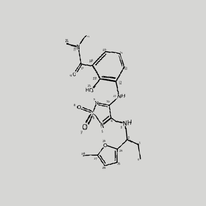 CCC(NC1=NS(=O)(=O)N=C1Nc1cccc(C(=O)N(C)C)c1O)c1ccc(C)o1